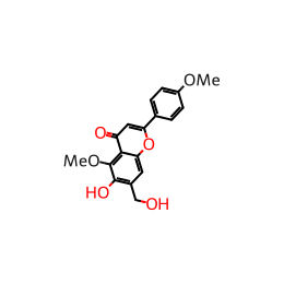 COc1ccc(-c2cc(=O)c3c(OC)c(O)c(CO)cc3o2)cc1